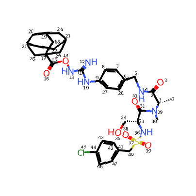 C[C@@H](C(=O)NCc1ccc(NC(=N)NOC(=O)C23CC4CC(CC(C4)C2)C3)cc1)N(C)C(=O)[C@@H](CO)NS(=O)(=O)Cc1ccc(Cl)cc1